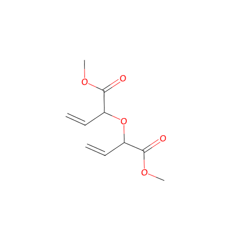 C=CC(OC(C=C)C(=O)OC)C(=O)OC